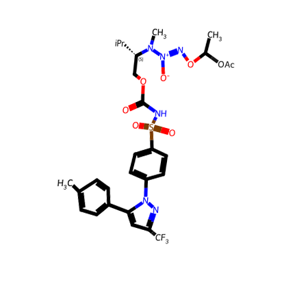 CC(=O)OC(C)ON=[N+]([O-])N(C)[C@H](COC(=O)NS(=O)(=O)c1ccc(-n2nc(C(F)(F)F)cc2-c2ccc(C)cc2)cc1)C(C)C